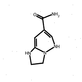 NC(=O)C1=CNN2CCNC2=C1